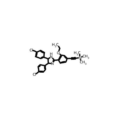 CCOc1cc(C#C[Si](C)(C)C)ccc1C1=NC(c2ccc(Cl)cc2)C(c2ccc(Cl)cc2)N1